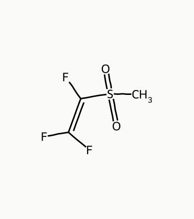 CS(=O)(=O)C(F)=C(F)F